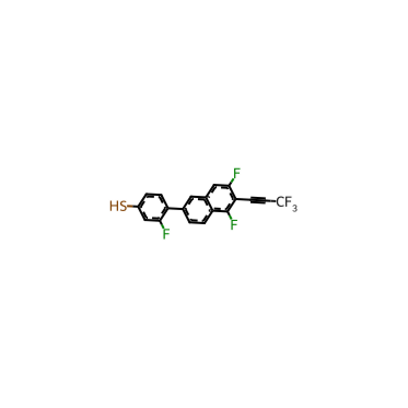 Fc1cc(S)ccc1-c1ccc2c(F)c(C#CC(F)(F)F)c(F)cc2c1